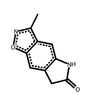 Cc1noc2cc3c(cc12)NC(=O)C3